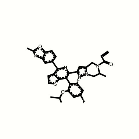 C=CC(=O)N1Cc2cc(-c3nc(-c4ccc5oc(C)nc5c4)c4ccsc4c3-c3c(F)cc(F)cc3OC(C)C)nn2CC1C